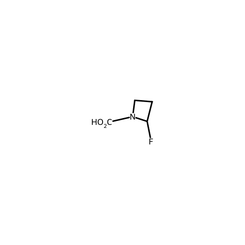 O=C(O)N1CCC1F